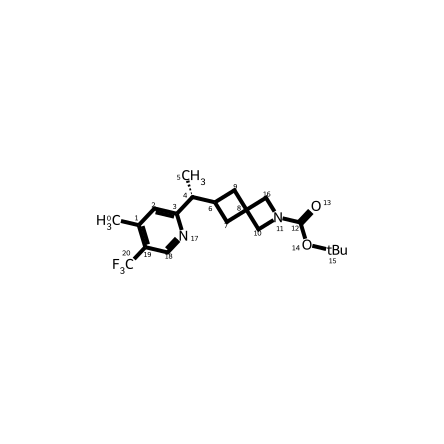 Cc1cc([C@H](C)C2CC3(C2)CN(C(=O)OC(C)(C)C)C3)ncc1C(F)(F)F